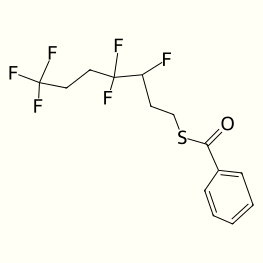 O=C(SCCC(F)C(F)(F)CCC(F)(F)F)c1ccccc1